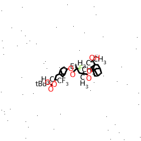 CCC(F)(CC(C)(C)C(=O)OC12CC3CC(C1)CC(C(C)(C)O)(C3)C2)C(=O)OC1CC2CC1CC2CC(C)(OC(=O)OC(C)(C)C)C(F)(F)F